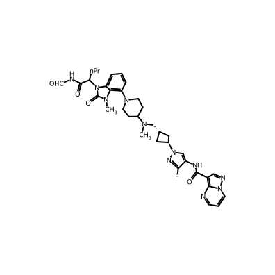 CCCC(C(=O)NC=O)n1c(=O)n(C)c2c(N3CCC(N(C)C[C@H]4C[C@H](n5cc(NC(=O)c6cnn7cccnc67)c(F)n5)C4)CC3)cccc21